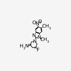 Cc1cc2c(cc1[N+](=O)[O-])nc(N1C[C@H](N)C[C@@H](F)C1)n2C